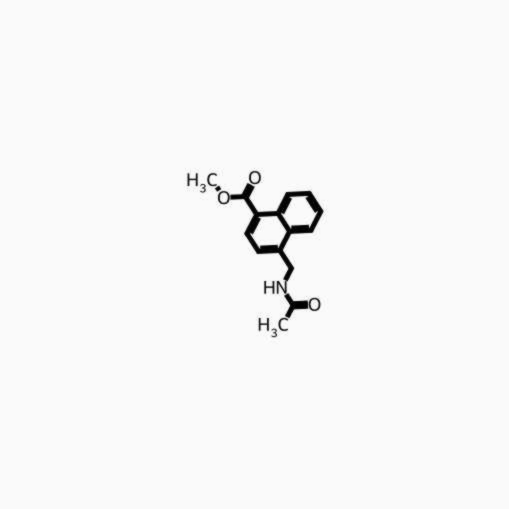 COC(=O)c1ccc(CNC(C)=O)c2ccccc12